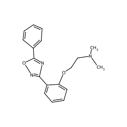 CN(C)CCOc1ccccc1-c1noc(-c2ccccc2)n1